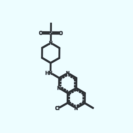 Cc1cc2cnc(NC3CCN(S(C)(=O)=O)CC3)nc2c(Cl)n1